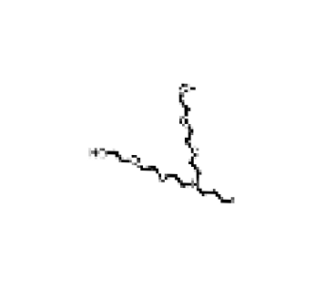 CCCCN(CCOCCOCCO)CCOCCOCCO